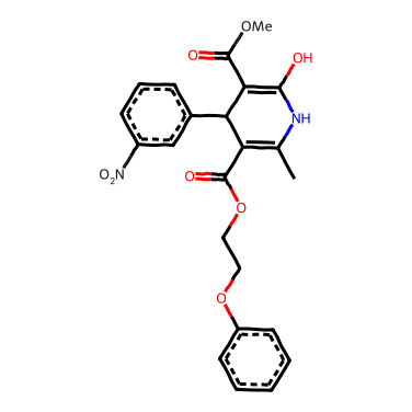 COC(=O)C1=C(O)NC(C)=C(C(=O)OCCOc2ccccc2)C1c1cccc([N+](=O)[O-])c1